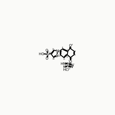 Cl.O=C1C=CC(=O)c2ccccc21.O=S(=O)(O)c1cn[nH]c1.[N-]=[N+]=N.[N-]=[N+]=[N-]